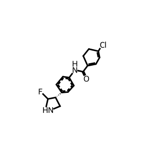 O=C(Nc1ccc([C@@H]2CNCC2F)cc1)C1=CC=C(Cl)CC1